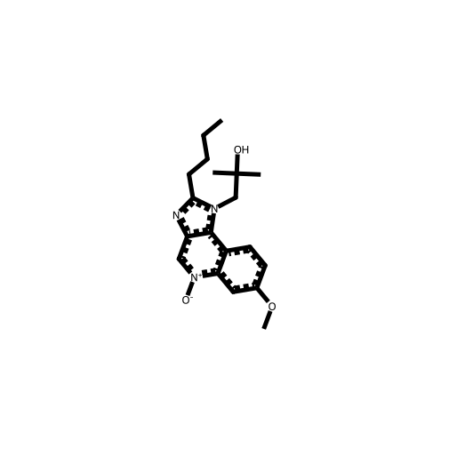 CCCCc1nc2c[n+]([O-])c3cc(OC)ccc3c2n1CC(C)(C)O